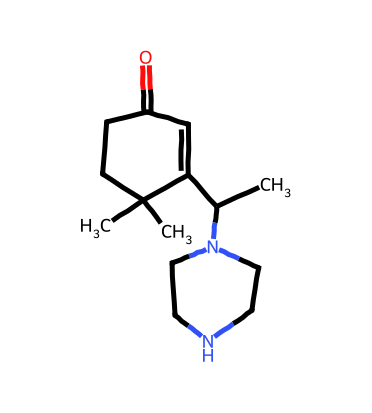 CC(C1=CC(=O)CCC1(C)C)N1CCNCC1